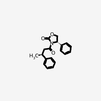 C[C@@H](CC(=O)N1C(=O)OC[C@@H]1c1ccccc1)c1ccccc1